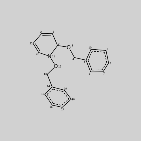 C1=CC(OCc2ccccc2)N(OCc2ccccc2)C=C1